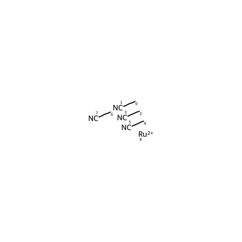 CC#N.CC#N.CC#N.CC#N.[Ru+2]